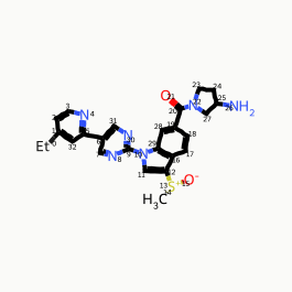 CCc1ccnc(-c2cnc(-n3cc([S+](C)[O-])c4ccc(C(=O)N5CCC(N)C5)cc43)nc2)c1